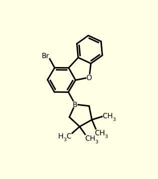 CC1(C)CB(c2ccc(Br)c3c2oc2ccccc23)CC1(C)C